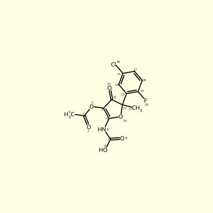 CC(=O)OC1=C(NC(=O)O)OC(C)(c2cc(Cl)ccc2F)C1=O